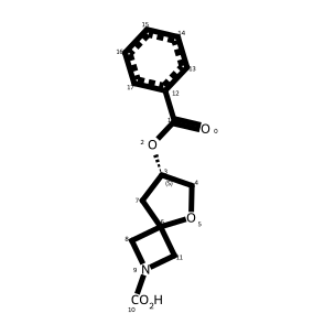 O=C(O[C@@H]1COC2(C1)CN(C(=O)O)C2)c1ccccc1